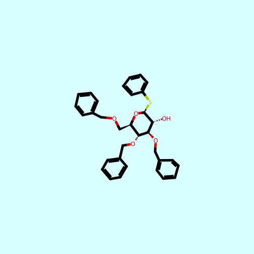 O[C@@H]1[C@@H](OCc2ccccc2)[C@H](OCc2ccccc2)[C@@H](COCc2ccccc2)O[C@H]1Sc1ccccc1